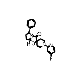 O=C1N2[C@@H](CC[C@H]2c2ccccc2)OC12CCN(c1cc(F)ccn1)CC2